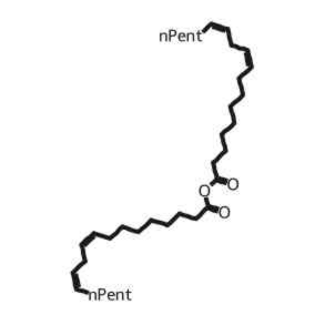 CCCCC/C=C\C/C=C\CCCCCCCC(=O)OC(=O)CCCCCCC/C=C\C/C=C\CCCCC